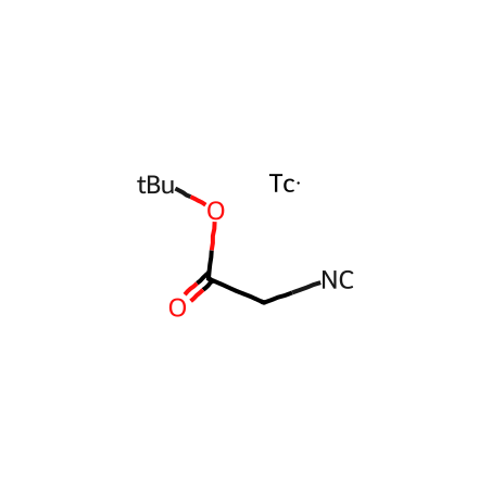 [C-]#[N+]CC(=O)OC(C)(C)C.[Tc]